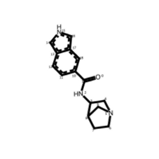 O=C(NC1CN2CCC1C2)c1ccc2c[nH]cc2c1